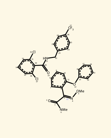 CNC(=O)/C(=N/OC)c1ccccc1Oc1ccccc1.O=C(NCc1ccc(C(F)(F)F)cc1)c1c(Cl)cccc1Cl